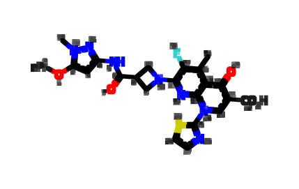 CCCOc1cc(NC(=O)C2CN(c3nc4c(c(C)c3F)c(=O)c(C(=O)O)cn4-c3nccs3)C2)nn1C